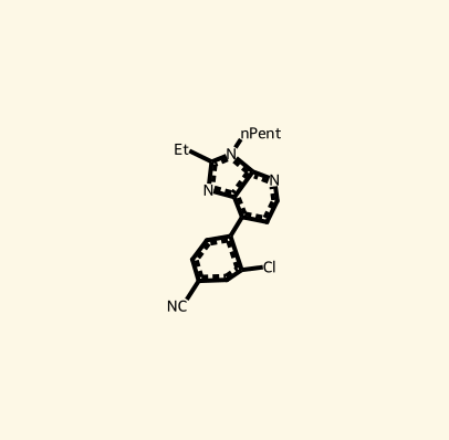 CCCCCn1c(CC)nc2c(-c3ccc(C#N)cc3Cl)ccnc21